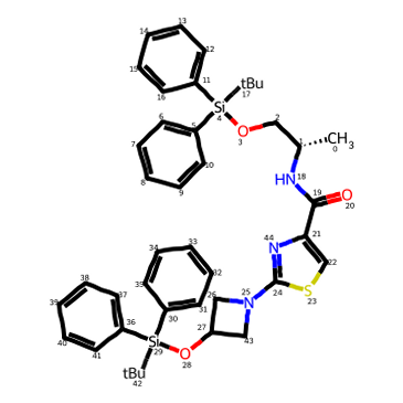 C[C@@H](CO[Si](c1ccccc1)(c1ccccc1)C(C)(C)C)NC(=O)c1csc(N2CC(O[Si](c3ccccc3)(c3ccccc3)C(C)(C)C)C2)n1